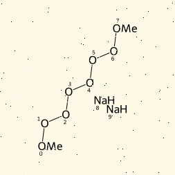 COOOOOOOOC.[NaH].[NaH]